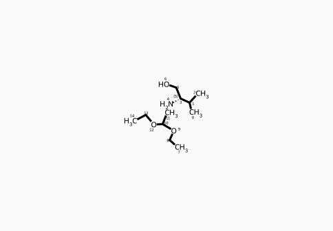 CC(C)[C@H](N)CO.CCOC(C)OCC